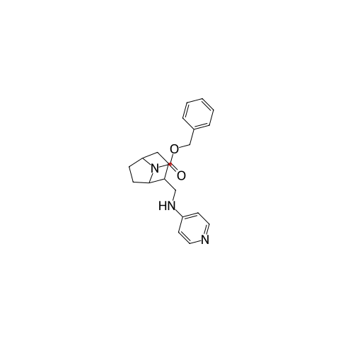 O=C(OCc1ccccc1)N1C2CCC(CNc3ccncc3)C1CC2